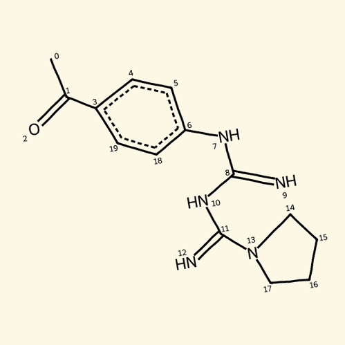 CC(=O)c1ccc(NC(=N)NC(=N)N2CCCC2)cc1